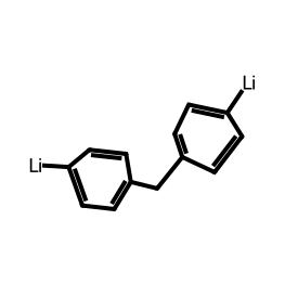 [Li][c]1ccc(Cc2cc[c]([Li])cc2)cc1